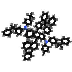 Cc1ccc(N(c2ccc3c(c2)C(C)(C)c2ccccc2-3)c2ccc3c(-c4ccc5c(c4)C(c4ccccc4)(c4ccccc4)c4ccccc4-5)c4cc(N(c5ccc(C(C)(C)C)cc5)c5ccc6c(c5)C(C)(C)c5ccccc5-6)ccc4c(-c4ccc5c6c(cccc46)-c4ccccc4-5)c3c2)cc1